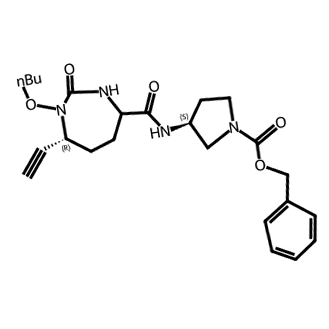 C#C[C@H]1CCC(C(=O)N[C@H]2CCN(C(=O)OCc3ccccc3)C2)NC(=O)N1OCCCC